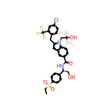 BC(B)(O)Cn1c(Cc2ccc(Cl)cc2C(F)(F)F)cc2cc(C(=O)N[C@@H](CO)c3ccc(S(=O)(=O)CC)cc3)ccc21